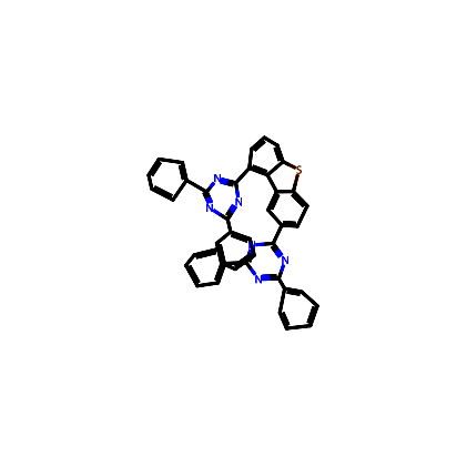 c1ccc(-c2nc(-c3ccccc3)nc(-c3ccc4sc5cccc(-c6nc(-c7ccccc7)nc(-c7ccccc7)n6)c5c4c3)n2)cc1